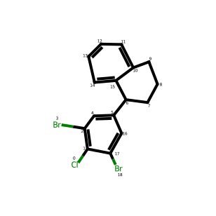 Clc1c(Br)cc(C2CCCc3ccccc32)cc1Br